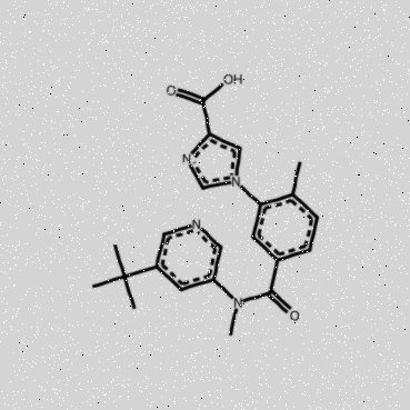 Cc1ccc(C(=O)N(C)c2cncc(C(C)(C)C)c2)cc1-n1cnc(C(=O)O)c1